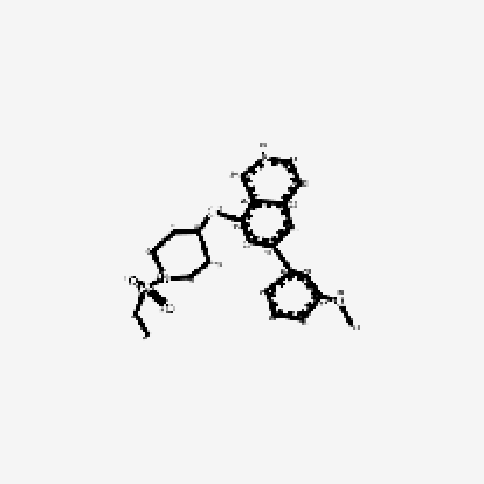 CCS(=O)(=O)N1CCC(Oc2cc(-c3cccc(OC)c3)cc3ccncc23)CC1